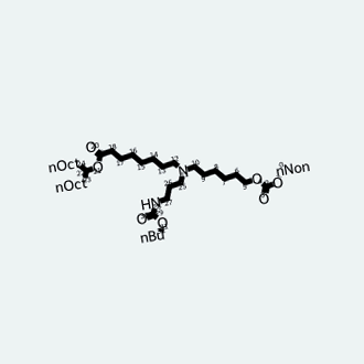 CCCCCCCCCOC(=O)OCCCCCCN(CCCCCCCC(=O)OC(CCCCCCCC)CCCCCCCC)CCCNC(=O)OCCCC